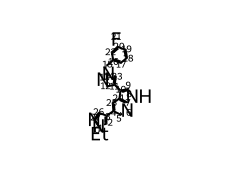 CCn1cc(-c2cnc3[nH]cc(-c4cnn(Cc5cccc(F)c5)c4)c3c2)cn1